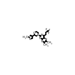 Cc1nc2nc(N3CCOC(c4cnn(C)c4)C3)nc(CCC(F)(F)F)c2nc1C